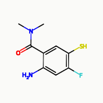 CN(C)C(=O)c1cc(S)c(F)cc1N